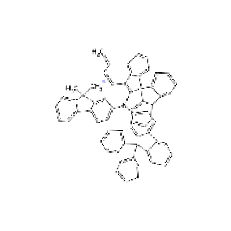 C=C/C=C\C1=C(N(c2ccc3c(c2)C(C)(C)c2ccccc2-3)c2ccc3c(c2)C(c2ccccc2)(c2ccccc2)c2ccccc2-3)C2(c3ccccc31)c1ccccc1-c1ccccc12